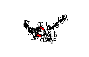 CCOc1c(C)c(O)c2c(=O)c3c4oc5cc(N6CCN(CC(C)C)CC6)cc(O)c5nc-4c2c1C(=O)O/C=C/[C@H](OC)[C@@H](C)[C@@H](OC(C)=O)[C@H](C)[C@H](O)[C@H](C)[C@@H](OC(=O)CCCOC(=O)CCCC(=O)NC(P=O)P=O)[C@@H](C)/C=C/C=C(/C)C(=O)N3